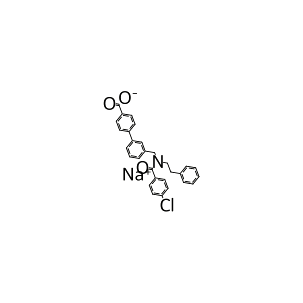 O=C([O-])c1ccc(-c2cccc(CN(CCc3ccccc3)C(=O)c3ccc(Cl)cc3)c2)cc1.[Na+]